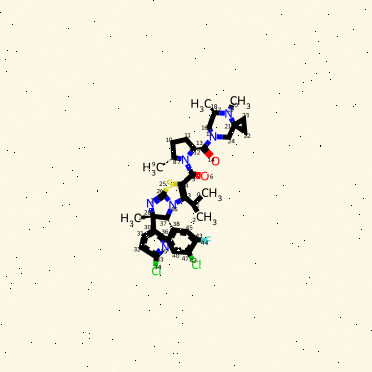 CC(C)C1=C(C(=O)N2[C@H](C)CC[C@H]2C(=O)N2C[C@@H](C)N(C)C3(CC3)C2)SC2=N[C@@](C)(c3ccc(Cl)nc3)[C@@H](c3ccc(Cl)c(F)c3)N21